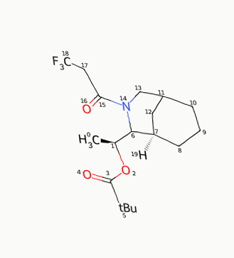 C[C@H](OC(=O)C(C)(C)C)C1[C@@H]2CCCC(C2)CN1C(=O)CC(F)(F)F